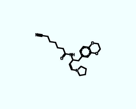 N#CCCCCCC(=O)NC(/C=C\N1CCCC1)Cc1ccc2c(c1)OCCO2